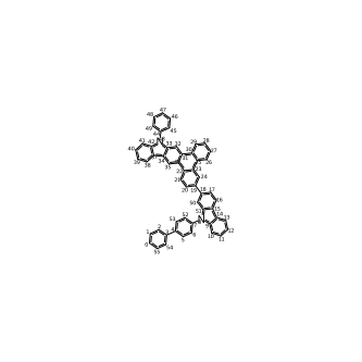 c1ccc(-c2ccc(-n3c4ccccc4c4ccc(-c5ccc6c(c5)c5ccccc5c5cc7c(cc65)c5ccccc5n7-c5ccccc5)cc43)cc2)cc1